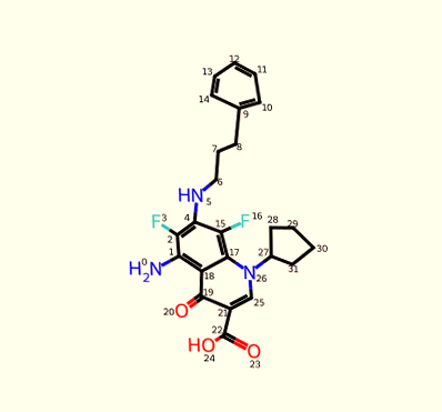 Nc1c(F)c(NCCCc2ccccc2)c(F)c2c1c(=O)c(C(=O)O)cn2C1CCCC1